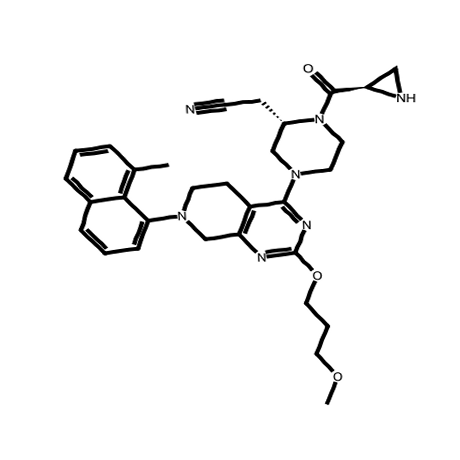 COCCCOc1nc2c(c(N3CCN(C(=O)[C@H]4CN4)[C@@H](CC#N)C3)n1)CCN(c1cccc3cccc(C)c13)C2